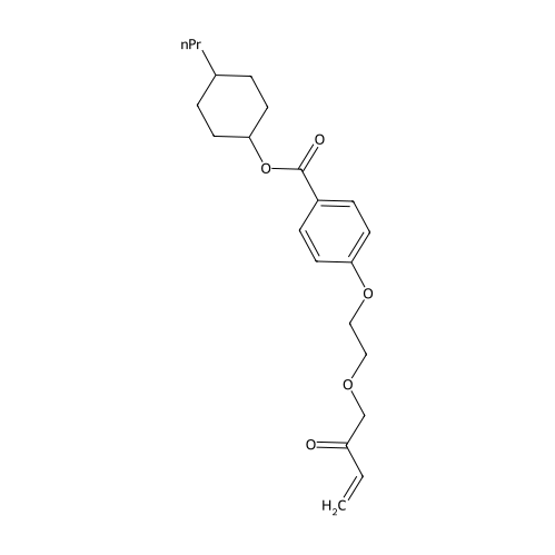 C=CC(=O)COCCOc1ccc(C(=O)OC2CCC(CCC)CC2)cc1